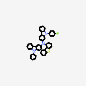 Fc1ccc(-n2c3ccccc3c3ccc(N(c4ccc5c(c4)c4ccccc4n5-c4ccccc4)c4cccc5sc6ccccc6c45)cc32)cc1